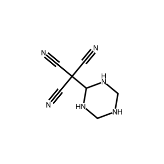 N#CC(C#N)(C#N)C1NCNCN1